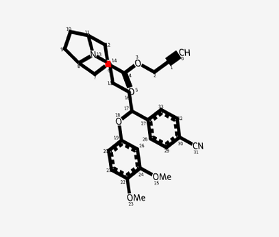 C#CCOC(=O)N1CC2CCC(C1)N2CCCC(Oc1ccc(OC)c(OC)c1)c1ccc(C#N)cc1